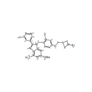 CCN1CC(COc2ccc(Cn3c(-c4cncc(F)c4)nc4c(C)nc(OC)nc43)c(F)c2)C1